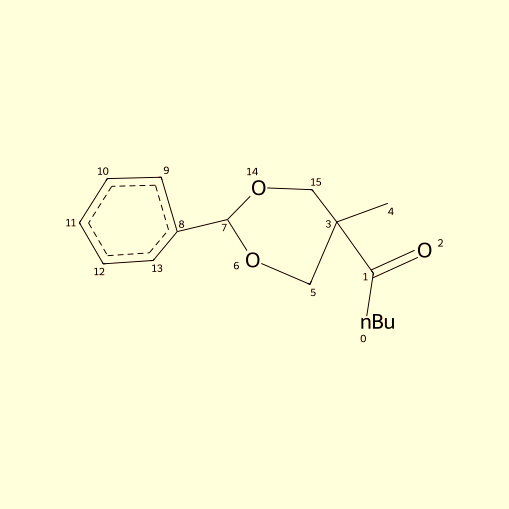 CCCCC(=O)C1(C)COC(c2ccccc2)OC1